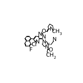 C=CC(=O)N1CCN(c2nc(OC=C3CCCN3C)nc3cc(-c4cccc5ccc(F)c(Cl)c45)cnc23)C[C@@H]1CC#N